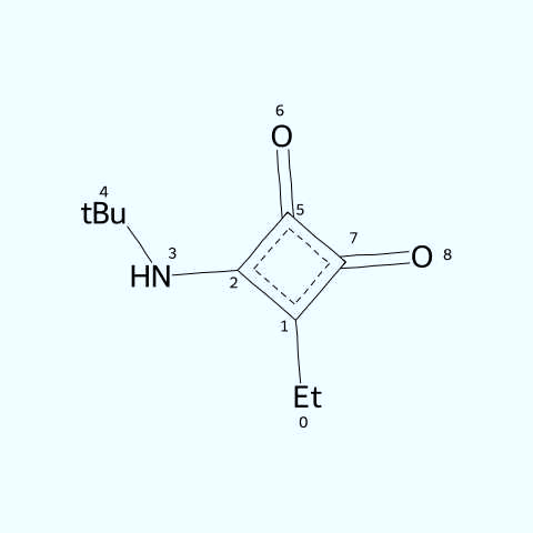 CCc1c(NC(C)(C)C)c(=O)c1=O